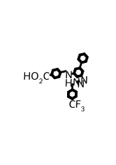 O=C(O)c1ccc(CNc2cc(-c3ccccc3)cc3nnn(Cc4ccc(C(F)(F)F)cc4)c23)cc1